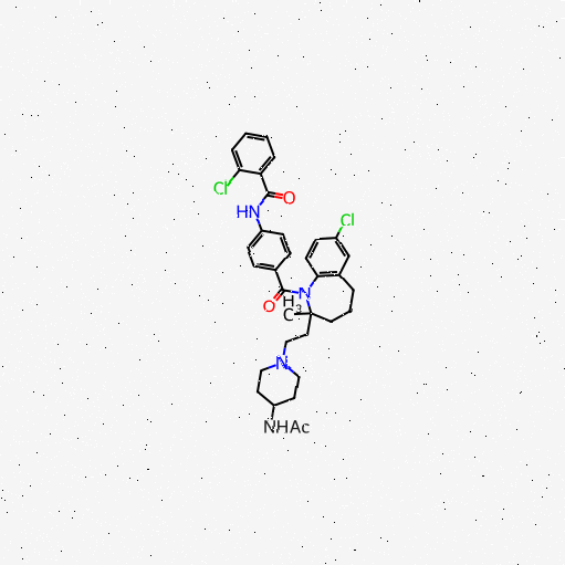 CC(=O)NC1CCN(CCC2(C)CCCc3cc(Cl)ccc3N2C(=O)c2ccc(NC(=O)c3ccccc3Cl)cc2)CC1